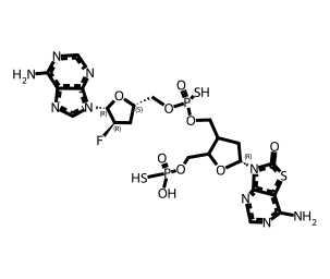 Nc1ncnc2c1ncn2[C@@H]1O[C@H](COP(=O)(S)OCC2C[C@H](n3c(=O)sc4c(N)ncnc43)OC2COP(=O)(O)S)C[C@H]1F